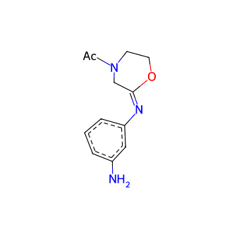 CC(=O)N1CCO/C(=N/c2cccc(N)c2)C1